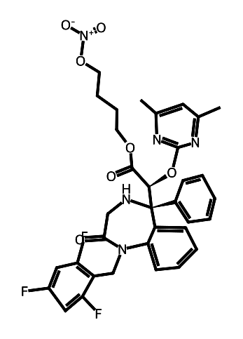 Cc1cc(C)nc(O[C@H](C(=O)OCCCCO[N+](=O)[O-])[C@@]2(c3ccccc3)NCC(=O)N(Cc3c(F)cc(F)cc3F)c3ccccc32)n1